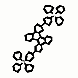 c1ccc([Si](c2ccccc2)(c2ccccc2)c2ccc(-c3ccc4c5ccccc5c5c6cc(-c7ccc([Si](c8ccccc8)(c8ccccc8)c8ccccc8)cc7)ccc6c6ccccc6c5c4c3)cc2)cc1